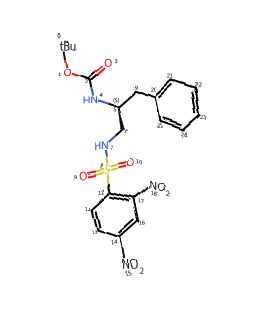 CC(C)(C)OC(=O)N[C@H](CNS(=O)(=O)c1ccc([N+](=O)[O-])cc1[N+](=O)[O-])Cc1ccccc1